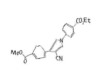 CCOC(=O)c1ccc(-n2cc(C#N)c(-c3ccc(C(=O)OC)cc3)c2)cc1